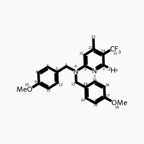 [2H]c1nc(N(Cc2ccc(OC)cc2)Cc2ccc(OC)cc2)cc(C)c1C(F)(F)F